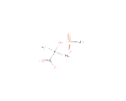 CC(C)(OS(C)(=O)=O)C(=O)O